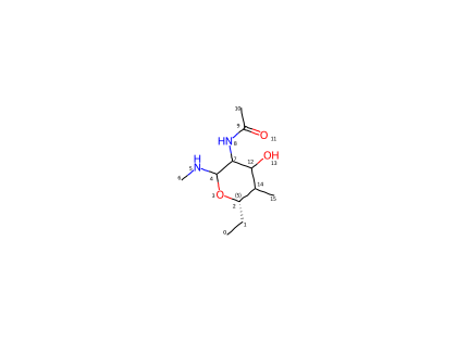 CC[C@@H]1OC(NC)C(NC(C)=O)C(O)C1C